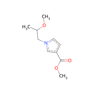 COC(=O)c1ccn(CC(C)OC)c1